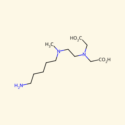 CN(CCCCCN)CCN(CC(=O)O)CC(=O)O